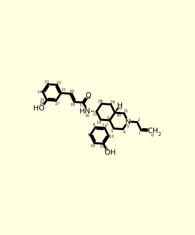 C=CCN1CC[C@@]2(c3cccc(O)c3)C[C@H](NC(=O)C=Cc3cccc(O)c3)CC[C@@H]2C1